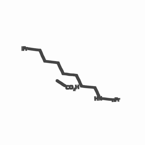 CC(=O)O.CCCNCCCCCCCC(C)C